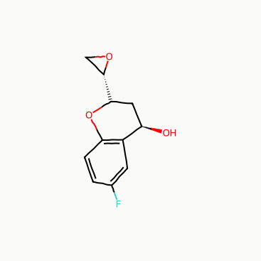 O[C@@H]1CC([C@@H]2CO2)Oc2ccc(F)cc21